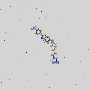 CN(C)c1ccc(-c2nc3ccc(OC4CC(OCCCN5CCNCC5)C4)cc3s2)cc1